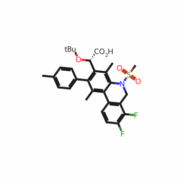 Cc1ccc(-c2c(C)c3c(c(C)c2[C@H](OC(C)(C)C)C(=O)O)N(S(C)(=O)=O)Cc2c-3ccc(F)c2F)cc1